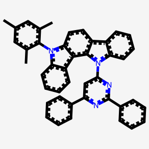 Cc1cc(C)c(-n2c3ccccc3c3c2ccc2c4ccccc4n(-c4cc(-c5ccccc5)nc(-c5ccccc5)n4)c23)c(C)c1